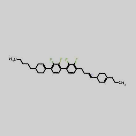 CCCCCC1CC=C(c2ccc(-c3ccc(CC/C=C/C4CC=C(CCC)CC4)c(F)c3F)c(F)c2F)CC1